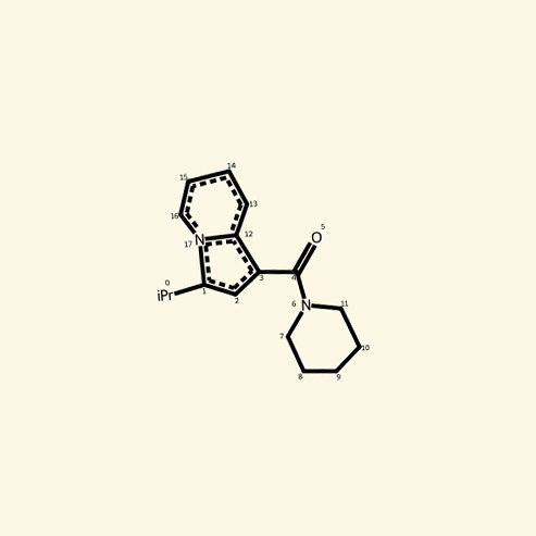 CC(C)c1cc(C(=O)N2CCCCC2)c2ccccn12